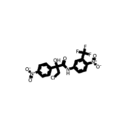 O=C(Nc1ccc([N+](=O)[O-])c(C(F)(F)F)c1)C(O)(CCl)c1ccc([N+](=O)[O-])cc1